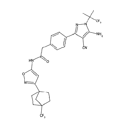 CC(C)(n1nc(-c2ccc(CC(=O)Nc3cc(C45CCC(C(F)(F)F)(CC4)C5)no3)cc2)c(C#N)c1N)C(F)(F)F